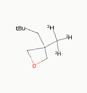 [2H]C([2H])([2H])C1(CC(C)(C)C)COC1